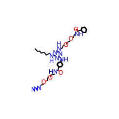 CCCCCCCNc1nc(NCCOCCOCCNC(=O)c2ccccc2)nc(Nc2ccc(C(=O)NCCOCCOCCN=[N+]=[N-])cc2)n1